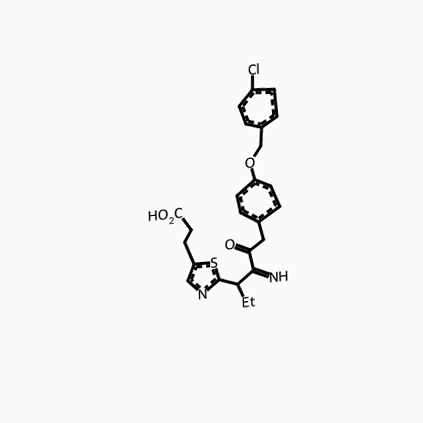 CCC(C(=N)C(=O)Cc1ccc(OCc2ccc(Cl)cc2)cc1)c1ncc(CCC(=O)O)s1